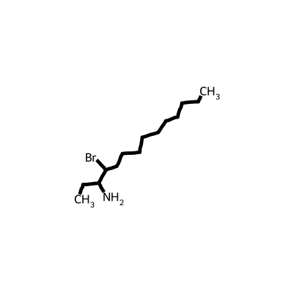 CCCCCCCCCCC(Br)C(N)CC